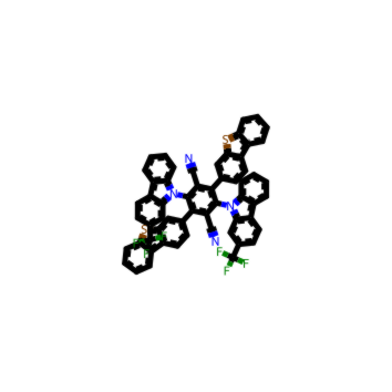 N#Cc1c(-c2ccc3c(c2)sc2ccccc23)c(-n2c3ccccc3c3ccc(C(F)(F)F)cc32)c(C#N)c(-c2ccc3c(c2)sc2ccccc23)c1-n1c2ccccc2c2ccc(C(F)(F)F)cc21